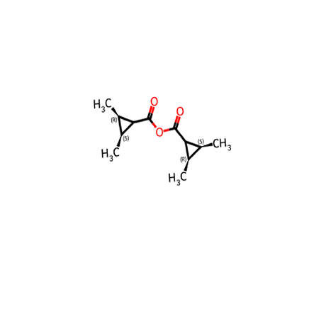 C[C@@H]1C(C(=O)OC(=O)C2[C@@H](C)[C@H]2C)[C@@H]1C